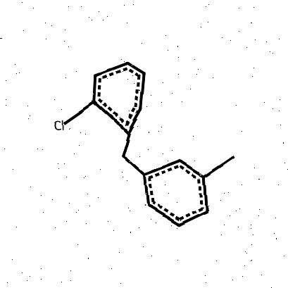 Cc1cc[c]c(Cc2ccccc2Cl)c1